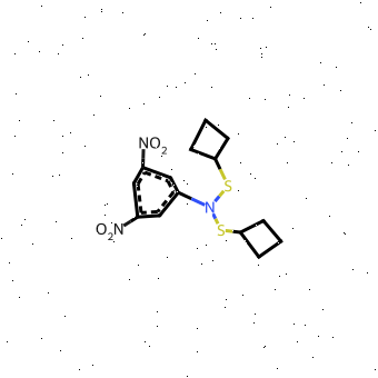 O=[N+]([O-])c1cc(N(SC2CCC2)SC2CCC2)cc([N+](=O)[O-])c1